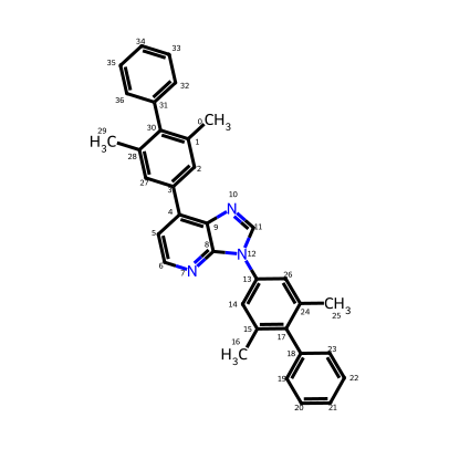 Cc1cc(-c2ccnc3c2ncn3-c2cc(C)c(-c3ccccc3)c(C)c2)cc(C)c1-c1ccccc1